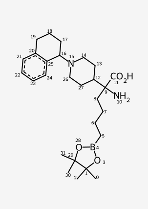 CC1(C)OB(CCCCC(N)(C(=O)O)C2CCN(C3CCCc4ccccc43)CC2)OC1(C)C